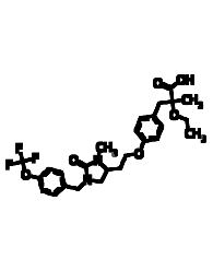 CCOC(C)(Cc1ccc(OCCC2CN(Cc3ccc(OC(F)(F)F)cc3)C(=O)N2C)cc1)C(=O)O